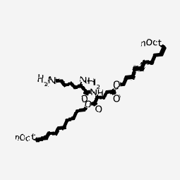 CCCCCCCC/C=C\CCCCCCCCOC(=O)CCC(NC(=O)[C@@H](N)CCCCN)C(=O)OCCCCCCCC/C=C\CCCCCCCC